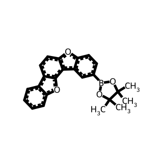 CC1(C)OB(c2ccc3oc4ccc5c6ccccc6oc5c4c3c2)OC1(C)C